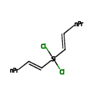 CCCC=C[Si](Cl)(Cl)C=CCCC